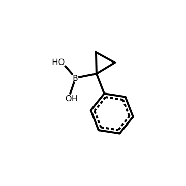 OB(O)C1(c2ccccc2)CC1